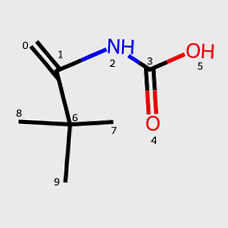 C=C(NC(=O)O)C(C)(C)C